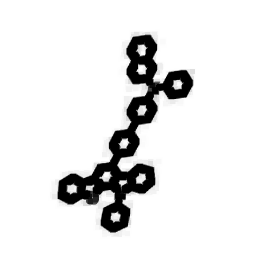 c1ccc(N(c2ccc(-c3ccc(-c4cc5c6ccccc6oc5c5c4c4ccccc4n5-c4ccccc4)cc3)cc2)c2ccc3ccccc3c2)cc1